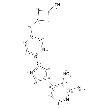 N#CC1CN(Cc2ccc(-n3cc(-c4ccnc(N)c4[N+](=O)[O-])cn3)nc2)C1